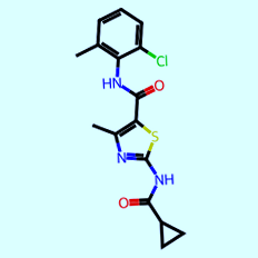 Cc1cccc(Cl)c1NC(=O)c1sc(NC(=O)C2CC2)nc1C